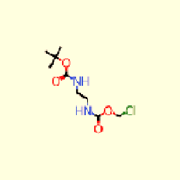 CC(C)(C)OC(=O)NCCNC(=O)OCCl